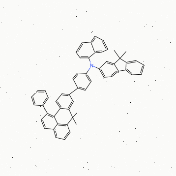 CC1(C)c2ccccc2-c2ccc(N(c3ccc(-c4ccc5c(c4)C(C)(C)c4cccc6ccc(-c7ccccc7)c-5c46)cc3)c3cccc4ccccc34)cc21